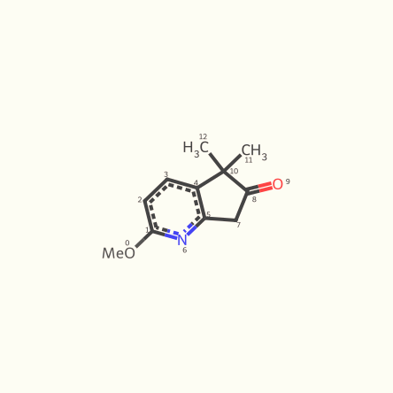 COc1ccc2c(n1)CC(=O)C2(C)C